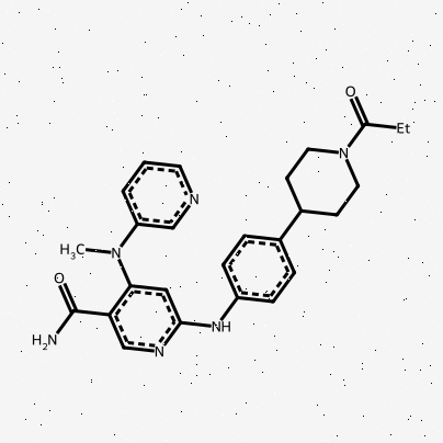 CCC(=O)N1CCC(c2ccc(Nc3cc(N(C)c4cccnc4)c(C(N)=O)cn3)cc2)CC1